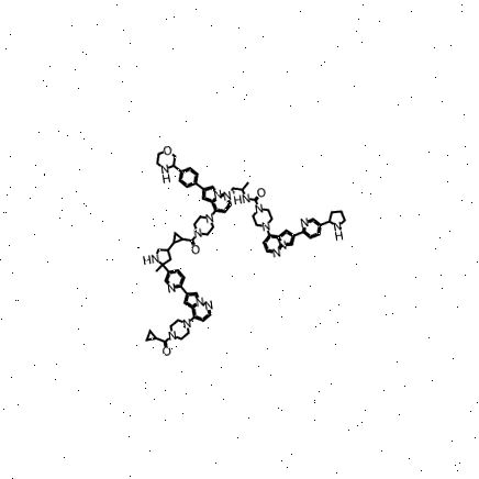 CC(C[n+]1ccc(N2CCN(C(=O)C3CC3C3CNC(C)(c4ccc(-c5cc6c(N7CCN(C(=O)C8CC8)CC7)ccnn6c5)nc4)C3)CC2)c2cc(-c3ccc(C4COCCN4)cc3)cn21)NC(=O)N1CCN(c2ccnn3cc(-c4ccc(C5CCCN5)cn4)cc23)CC1